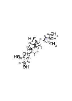 C=C1C(=CC=C2CCC[C@]3(C)C([C@@H](C)OC/C=C/C(O)(CC)CC)=CC[C@@H]23)C[C@@H](O)C[C@@H]1O